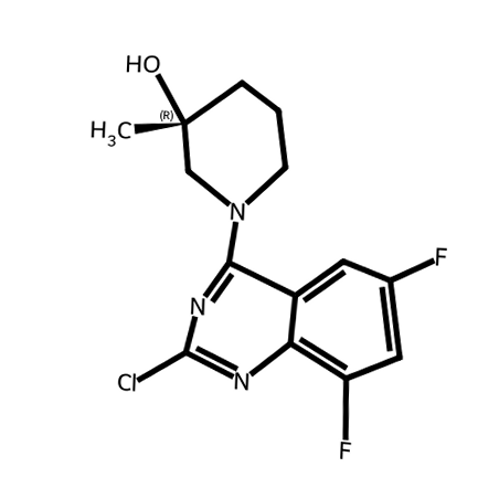 C[C@@]1(O)CCCN(c2nc(Cl)nc3c(F)cc(F)cc23)C1